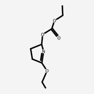 CCOC(=O)OC1CCC(OCC)=N1